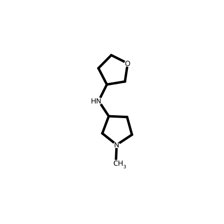 CN1CCC(NC2CCOC2)C1